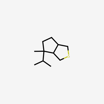 CC(C)C1(C)CCC2CSCC21